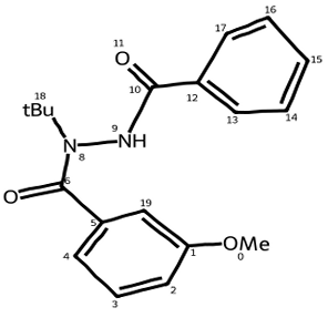 COc1cccc(C(=O)N(NC(=O)c2ccccc2)C(C)(C)C)c1